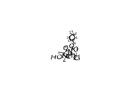 C[C@H](N)C(=O)N(C(=O)OCc1ccccc1)[C@H](CCl)C(=O)O